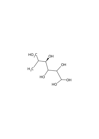 CC(C(=O)O)[C@@H](O)C(O)C(O)C(O)O